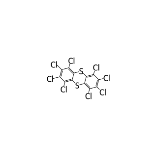 Clc1c(Cl)c(Cl)c2c(c1Cl)Sc1c(Cl)c(Cl)c(Cl)c(Cl)c1S2